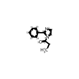 CCC(=O)n1ccnc1-c1ccccc1